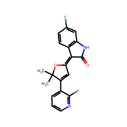 CC1(C)O/C(=C2/C(=O)Nc3cc(F)ccc32)C=C1c1cccnc1F